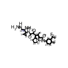 Cc1c(C(=O)C(=O)NC2(/C(N)=C/NN)CC2)c2n(c1C(=O)Nc1ccc(F)c(C(F)F)c1)CCC2